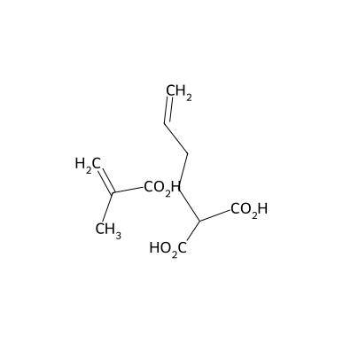 C=C(C)C(=O)O.C=CCCC(C(=O)O)C(=O)O